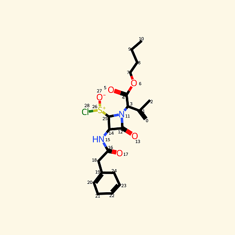 C=C(C)C(C(=O)OCCCC)N1C(=O)C(NC(=O)CC2=CCC=CC2)C1[S+]([O-])Cl